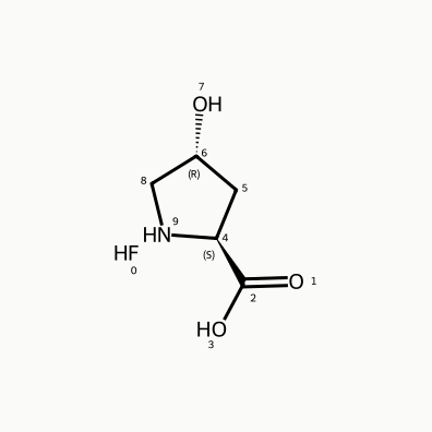 F.O=C(O)[C@@H]1C[C@@H](O)CN1